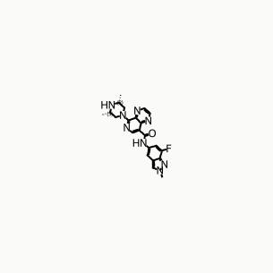 C[C@@H]1CN(c2ncc(C(=O)Nc3cc(F)c4nn(C)cc4c3)c3nccnc23)C[C@H](C)N1